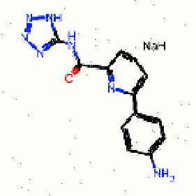 Nc1ccc(-c2cccc(C(=O)Nc3nnn[nH]3)n2)cc1.[NaH]